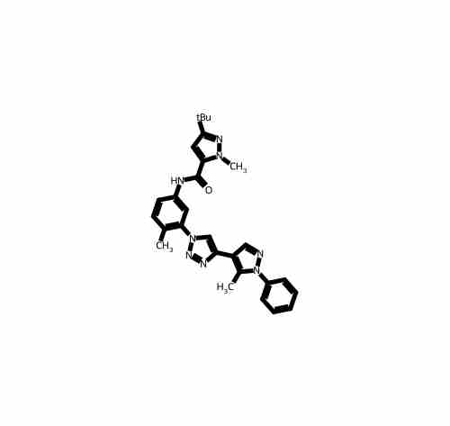 Cc1ccc(NC(=O)c2cc(C(C)(C)C)nn2C)cc1-n1cc(-c2cnn(-c3ccccc3)c2C)nn1